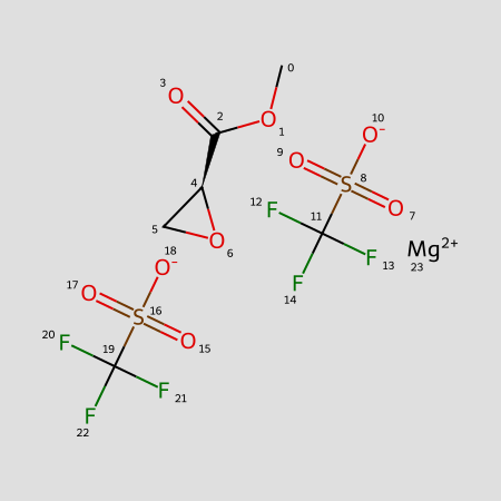 COC(=O)[C@@H]1CO1.O=S(=O)([O-])C(F)(F)F.O=S(=O)([O-])C(F)(F)F.[Mg+2]